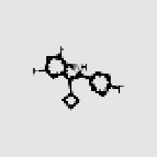 Fc1ccc(-c2[nH]c3c(F)cc(F)cc3c2C2C[CH]C2)cc1